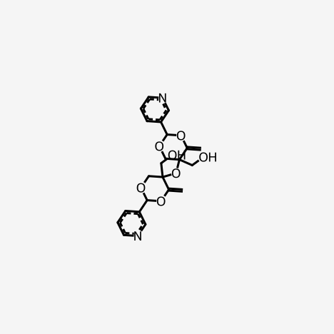 C=C1OC(c2cccnc2)OCC1(CO)OC1(CO)COC(c2cccnc2)OC1=C